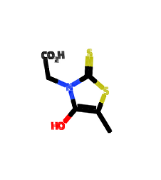 Cc1sc(=S)n(CC(=O)O)c1O